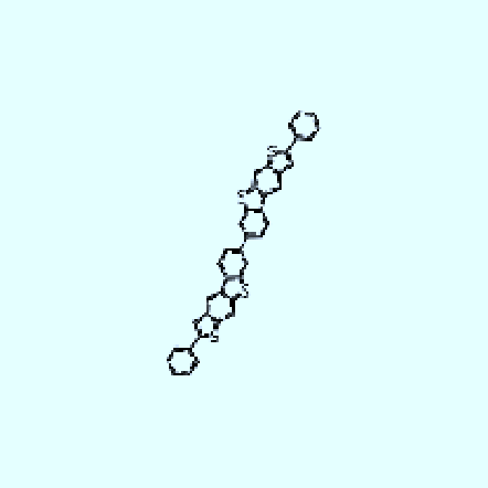 c1ccc(-c2cc3cc4c(cc3s2)sc2cc(-c3ccc5c(c3)sc3cc6sc(-c7ccccc7)cc6cc35)ccc24)cc1